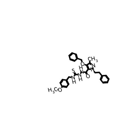 COc1ccc(CNC(=S)NNC(=O)c2c(OCc3ccccc3)c(C)nn2CCc2ccccc2)cc1